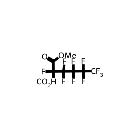 COC(=O)C(F)(C(=O)O)C(F)(F)C(F)(F)C(F)(F)C(F)(F)F